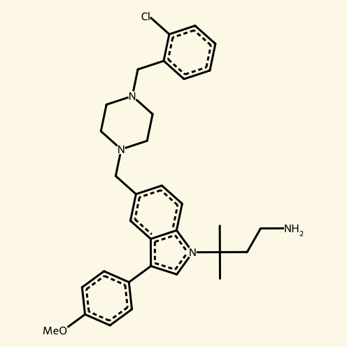 COc1ccc(-c2cn(C(C)(C)CCN)c3ccc(CN4CCN(Cc5ccccc5Cl)CC4)cc23)cc1